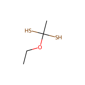 CCOC(C)(S)S